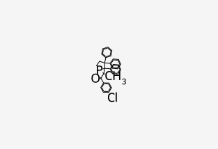 CC1(C(=O)c2ccc(Cl)cc2)P2CCC(c3ccccc3)(c3ccccc3)C21c1ccccc1